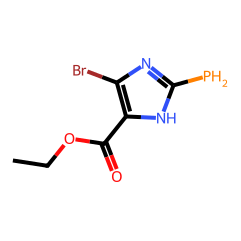 CCOC(=O)c1[nH]c(P)nc1Br